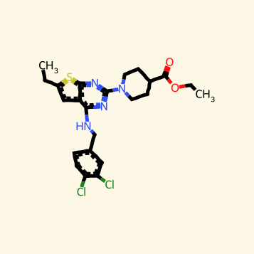 CCOC(=O)C1CCN(c2nc(NCc3ccc(Cl)c(Cl)c3)c3cc(CC)sc3n2)CC1